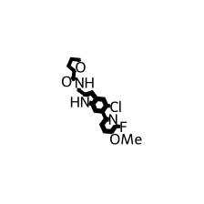 COc1ccc(-c2cc3[nH]c(CNC(=O)C4CCCO4)cc3cc2Cl)nc1F